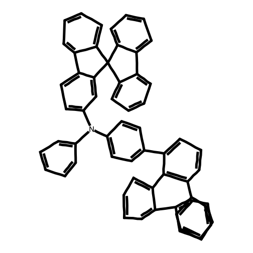 c1ccc(-c2ccccc2-c2c(-c3ccccc3)cccc2-c2ccc(N(c3ccccc3)c3ccc4c(c3)C3(c5ccccc5-c5ccccc53)c3ccccc3-4)cc2)cc1